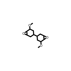 COC1CC(C2CC(OC)C3OC3C2)CC2OC12